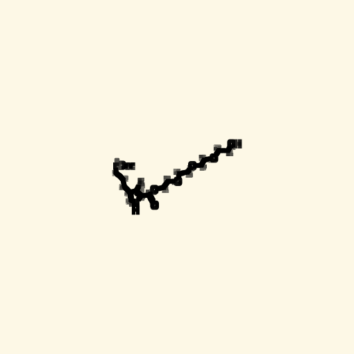 CCCCCCCCCCCCCc1c[nH]c(C(=O)OCCOCCOCCOCCO)c1F